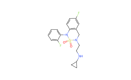 O=S1(=O)N(CCNC2CC2)Cc2cc(F)ccc2N1c1ccccc1F